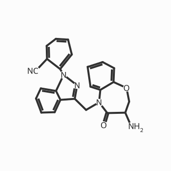 N#Cc1ccccc1-n1nc(CN2C(=O)C(N)COc3ccccc32)c2ccccc21